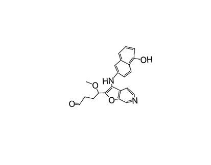 COC(CCC=O)c1oc2cnccc2c1Nc1ccc2c(O)cccc2c1